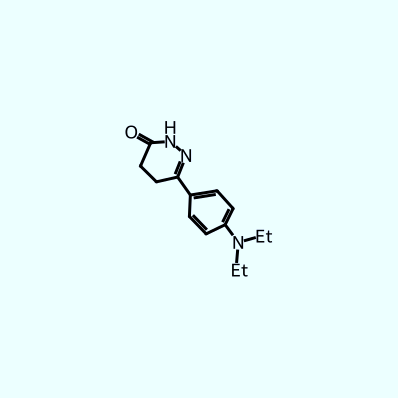 CCN(CC)c1ccc(C2=NNC(=O)CC2)cc1